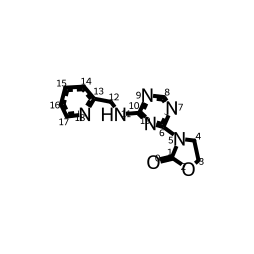 O=C1OCCN1c1ncnc(NCc2ccccn2)n1